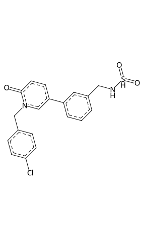 O=c1ccc(-c2cccc(CN[SH](=O)=O)c2)cn1Cc1ccc(Cl)cc1